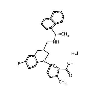 Cc1ccc(N2CC(CN[C@H](C)c3cccc4ccccc34)Cc3cc(F)ccc32)cc1C(=O)O.Cl